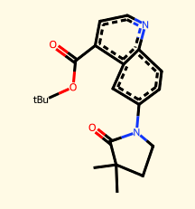 CC(C)(C)OC(=O)c1ccnc2ccc(N3CCC(C)(C)C3=O)cc12